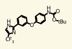 CC(C)(C)OC(=O)Nc1ccc(Oc2cccc(-c3nc(C(F)(F)F)c[nH]3)c2)cc1